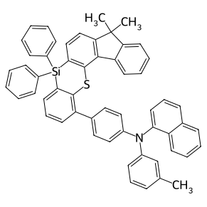 Cc1cccc(N(c2ccc(-c3cccc4c3Sc3c(ccc5c3-c3ccccc3C5(C)C)[Si]4(c3ccccc3)c3ccccc3)cc2)c2cccc3ccccc23)c1